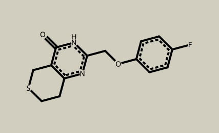 O=c1[nH]c(COc2ccc(F)cc2)nc2c1CSCC2